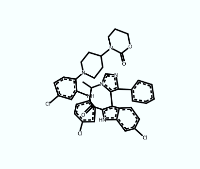 CC(c1ccc(Cl)cc1)n1cnc(-c2ccccc2)c1-c1c(C(=O)Nc2cc(Cl)ccc2N2CCC(N3CCCOC3=O)CC2)[nH]c2cc(Cl)ccc12